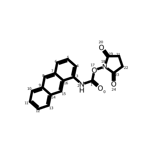 O=C(Nc1cccc2cc3ccccc3cc12)ON1C(=O)CCC1=O